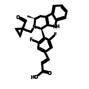 C[C@@H]1Cc2c([nH]c3ccccc23)[C@@H](c2c(F)cc(/C=C/C(=O)O)cc2F)N1CC1(C=O)CC1